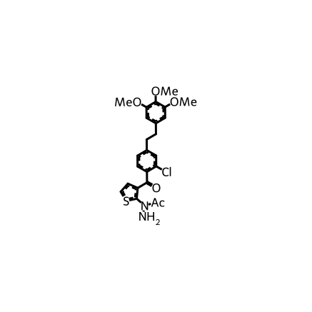 COc1cc(CCc2ccc(C(=O)c3ccsc3N(N)C(C)=O)c(Cl)c2)cc(OC)c1OC